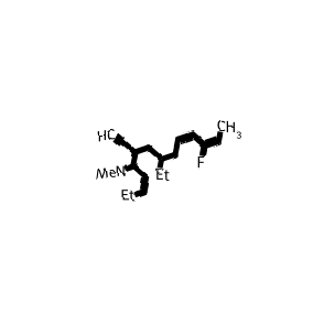 C#CC(CC(CC)C/C=C\C(F)=C/C)C(/C=C\CC)NC